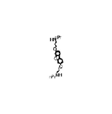 CCCNCCCOc1ccc2c(c1)oc1cc(OCCCNCCC)ccc12